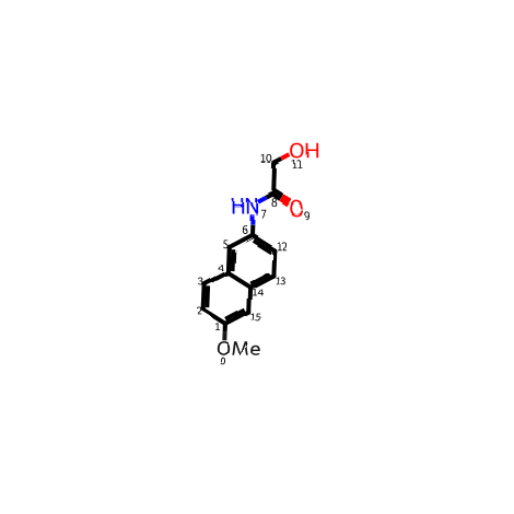 COc1ccc2cc(NC(=O)CO)ccc2c1